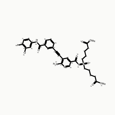 COC(=O)CCCCS(=O)(CCCCC(=O)OC)=NC(=O)c1cnc(N)c(C#Cc2cccc(C(=O)Nc3ccc(F)c(Cl)c3)c2)c1